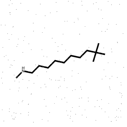 CNCCCCCCCCC(C)(C)C